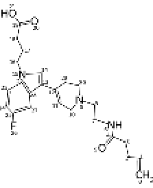 C=CCCC(=O)NCCN1CC=C(c2cn(CCCC(=O)O)c3ccc(F)cc23)CC1